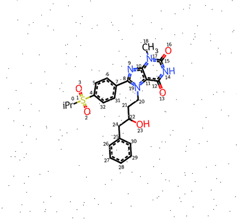 CC(C)S(=O)(=O)c1ccc(-c2nc3c(c(=O)[nH]c(=O)n3C)n2CCC(O)Cc2ccccc2)cc1